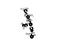 CCOC[C@H](NC1CC2(CCN(c3ccc(C(=O)NS(=O)(=O)c4cc5c(c([N+](=O)[O-])c4)S[C@@H]([C@H]4CC[C@](C)(O)CC4)CO5)c(Oc4cnc5[nH]cc(Cl)c5c4)c3)CC2)C1)c1ccccc1C(C)C